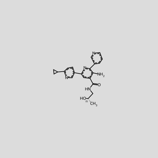 C[C@H](O)CNC(=O)c1cc(-c2ccc(C3CC3)nc2)nc(-c2cccnc2)c1N